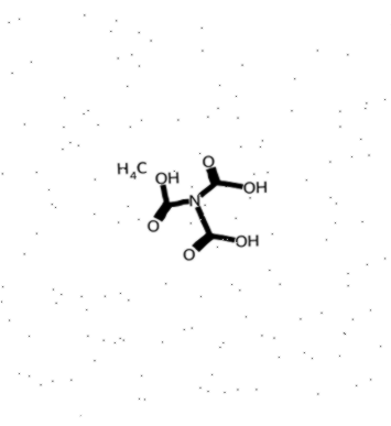 C.O=C(O)N(C(=O)O)C(=O)O